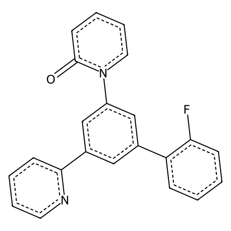 O=c1ccccn1-c1cc(-c2ccccn2)cc(-c2ccccc2F)c1